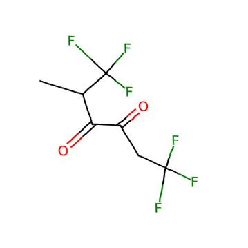 CC(C(=O)C(=O)CC(F)(F)F)C(F)(F)F